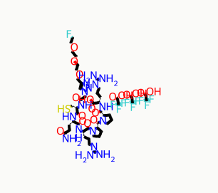 NC(=O)CC[C@H](NC(=O)[C@H](CS)NC(=O)Cn1cc(COCCOCCOCCF)nn1)C(=O)N[C@@H](CCCN=C(N)N)C(=O)N1CCC[C@H]1C(=O)N1CCC[C@H]1C(=O)N[C@@H](CCCN=C(N)N)C(=O)O.O=C(O)C(F)(F)F.O=C(O)C(F)(F)F.O=C(O)C(F)(F)F